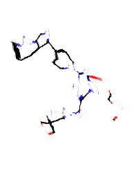 COC[C@@H](C)Oc1nc(C(=O)NCC2(C)COC2)nc(N2CCC(C3=NCc4ncccc43)CC2)n1